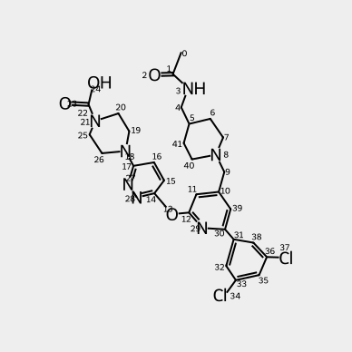 CC(=O)NCC1CCN(Cc2cc(Oc3ccc(N4CCN(C(=O)O)CC4)nn3)nc(-c3cc(Cl)cc(Cl)c3)c2)CC1